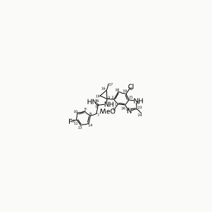 COc1c(C2(NC(=N)Cc3ccc(F)cc3)CC2C)cc(Cl)c2[nH]c(C)nc12